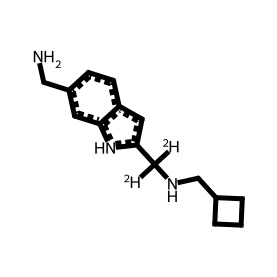 [2H]C([2H])(NCC1CCC1)c1cc2ccc(CN)cc2[nH]1